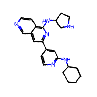 c1cc2c(N[C@H]3CCNC3)nc(-c3ccnc(NC4CCCCC4)c3)cc2cn1